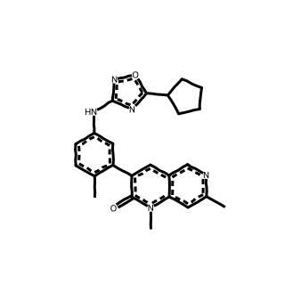 Cc1cc2c(cn1)cc(-c1cc(Nc3noc(C4CCCC4)n3)ccc1C)c(=O)n2C